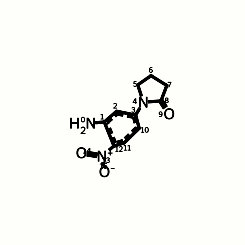 Nc1cc(N2CCCC2=O)ccc1[N+](=O)[O-]